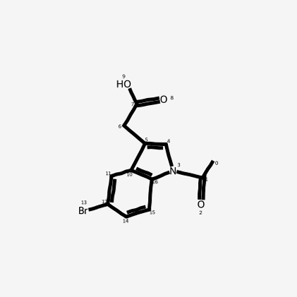 CC(=O)n1cc(CC(=O)O)c2cc(Br)ccc21